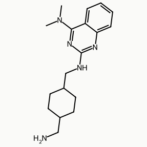 CN(C)c1nc(NCC2CCC(CN)CC2)nc2ccccc12